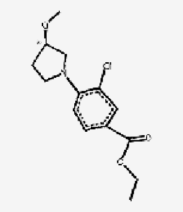 CCOC(=O)c1ccc(N2CC[C@@H](OC)C2)c(Cl)c1